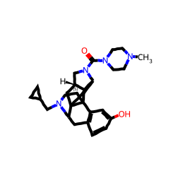 CN1CCN(C(=O)N2C[C@H]3CC45CCC2C3C42CCN(CC3CC3)C5Cc3ccc(O)cc32)CC1